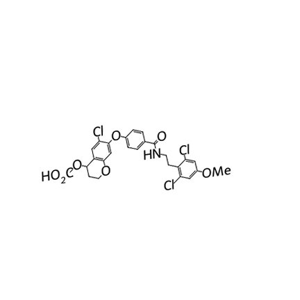 COc1cc(Cl)c(CCNC(=O)c2ccc(Oc3cc4c(cc3Cl)C(OC(=O)O)CCO4)cc2)c(Cl)c1